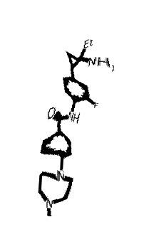 CCC1(N)CC1c1ccc(NC(=O)c2ccc(N3CCN(C)CC3)cc2)c(F)c1